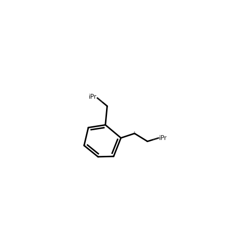 CC(C)C[CH]c1ccccc1CC(C)C